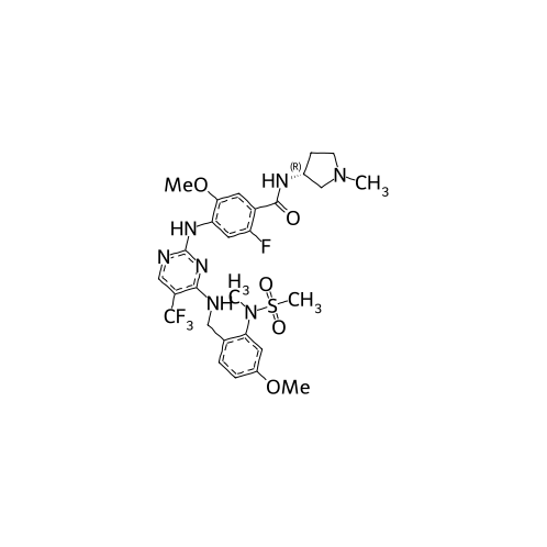 COc1ccc(CNc2nc(Nc3cc(F)c(C(=O)N[C@@H]4CCN(C)C4)cc3OC)ncc2C(F)(F)F)c(N(C)S(C)(=O)=O)c1